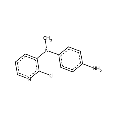 CN(c1ccc(N)cc1)c1cccnc1Cl